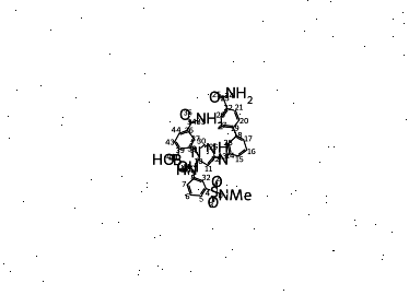 CNS(=O)(=O)c1cccc(Nc2cc(Nc3cccc(-c4ccc(C(N)=O)cc4)c3)ncn2)c1.NC(=O)c1ccc(B(O)O)cc1